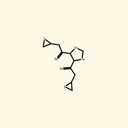 [Se]=C(CC1CS1)C1[Te]C[Te]C1C(=[Se])CC1CS1